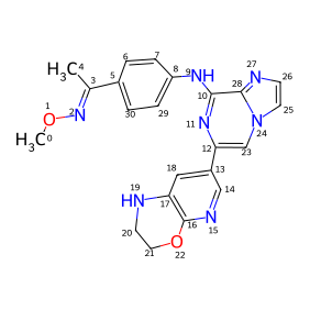 CON=C(C)c1ccc(Nc2nc(-c3cnc4c(c3)NCCO4)cn3ccnc23)cc1